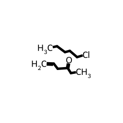 C=CCC(=O)CC.CCCCCCl